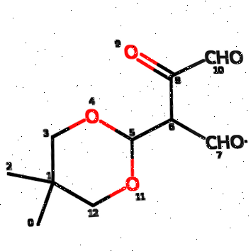 CC1(C)COC(C([C]=O)C(=O)C=O)OC1